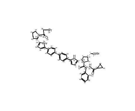 COC[C@H]1C[C@@H](c2ncc(-c3ccc(-c4ccc(-c5cnc([C@@H]6CCCN6C(=O)CC(C)C)[nH]5)cc4)cc3)[nH]2)N(C(=O)[C@H](NC(=O)C2CC2)c2ccccc2)C1